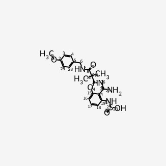 COc1ccc(CNC(=O)C(C)(C)COc2cccc(NS(=O)O)c2C(=N)N)cc1